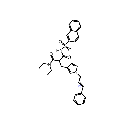 CCN(CC)C(=O)C(Cc1cnn(C/C=C/c2ccccc2)c1)C(=O)NS(=O)(=O)c1ccc2ccccc2c1